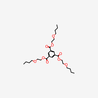 CCCCOCCOC(=O)c1cc(C(=O)OCCOCCCC)cc(C(=O)OCCOCCCC)c1